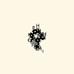 CCCCC(=O)Nc1cncc(-c2cc(F)c3[nH]nc(-c4nc5c(-c6cc(F)cc(CNS(C)(=O)=O)c6)ccnc5[nH]4)c3c2)c1